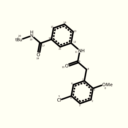 COc1ccc(Cl)cc1CC(=O)Nc1cccc(C(=O)NC(C)(C)C)c1